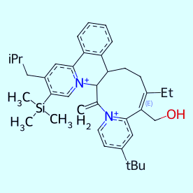 C=C1C2C(CC/C(CC)=C(/CO)c3cc(C(C)(C)C)cc[n+]31)c1ccccc1-c1cc(CC(C)C)c([Si](C)(C)C)c[n+]12